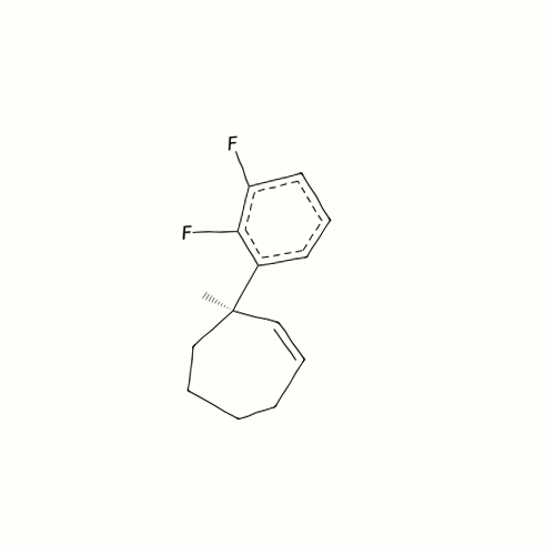 C[C@]1(c2cccc(F)c2F)C=CCCCC1